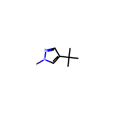 CC(C)(C)c1cnn(I)c1